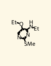 CCNc1nc(SC)ncc1OCC